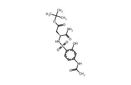 CC(=O)Nc1ccc(S(=O)(=O)N[C@@H](CC(=O)OC(C)(C)C)C(N)=O)c(O)c1